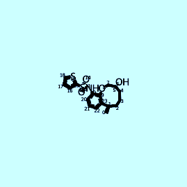 C=C1CCCC(O)COc2c(NS(=O)(=O)c3cccs3)cccc21